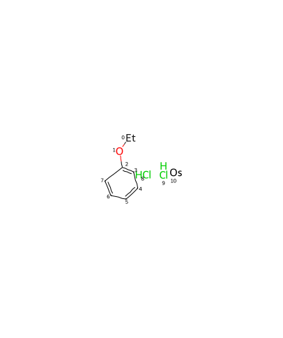 CCOc1ccccc1.Cl.Cl.[Os]